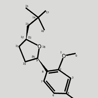 COc1cc(Cl)ccc1[C@H]1CC[C@@H](CC(C)(C)C)O1